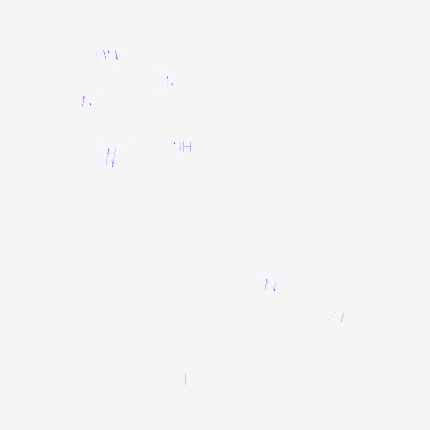 Fc1cccc(-c2nc3c(Cl)cccc3cc2CCCNc2ncnc3[nH]cnc23)c1